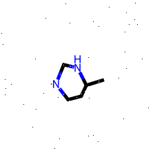 CC1CC[N]CN1